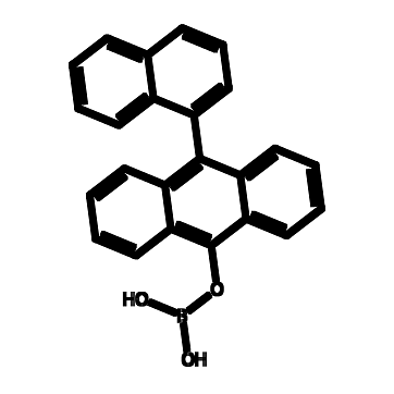 OB(O)Oc1c2ccccc2c(-c2cccc3ccccc23)c2ccccc12